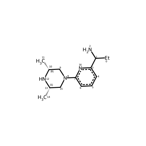 CCC(N)c1cccc(N2C[C@@H](C)N[C@@H](C)C2)n1